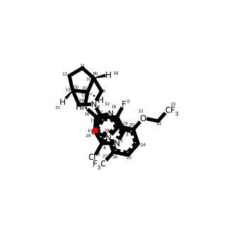 Fc1cnc(Cl)cc1N1C[C@H]2CC[C@@H](C1)[C@@H]2Nc1nc2c(OCC(F)(F)F)ccc(C(F)(F)F)n2n1